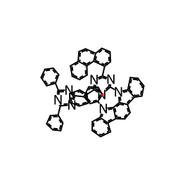 c1ccc(-c2nc(-c3ccccc3)nc(-c3cccc(-n4c5ccccc5c5ccc6c7ccccc7n(-c7nc(-c8ccccc8)nc(-c8cccc9ccc%10ccccc%10c89)n7)c6c54)c3)n2)cc1